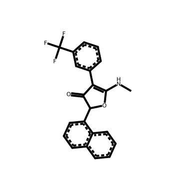 CNC1=C(c2cccc(C(F)(F)F)c2)C(=O)C(c2cccc3ccccc23)O1